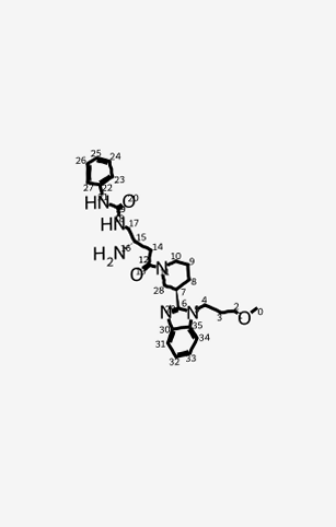 COCCCn1c([C@@H]2CCCN(C(=O)C[C@H](N)CNC(=O)Nc3ccccc3)C2)nc2ccccc21